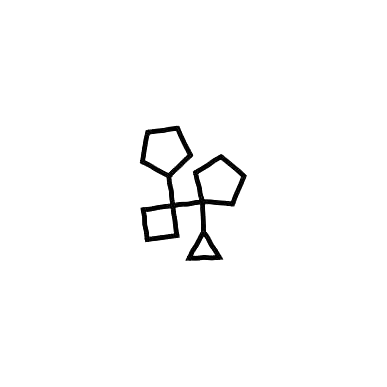 C1CC[C](C2(C3(C4CC4)CCCC3)CCC2)C1